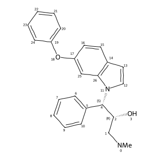 CNC[C@@H](O)[C@H](c1ccccc1)n1ccc2ccc(Oc3ccccc3)cc21